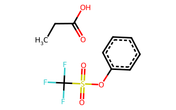 CCC(=O)O.O=S(=O)(Oc1ccccc1)C(F)(F)F